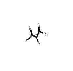 C[C@@H](Br)[C@H](Br)C(=O)O